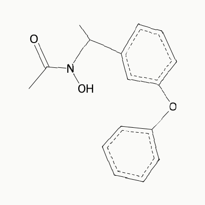 CC(=O)N(O)C(C)c1cccc(Oc2ccccc2)c1